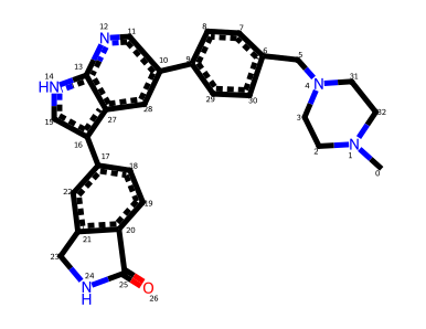 CN1CCN(Cc2ccc(-c3cnc4[nH]cc(-c5ccc6c(c5)CNC6=O)c4c3)cc2)CC1